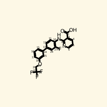 O=C(O)c1cccnc1Nc1ccc(-c2cccc(OCC(F)(F)F)c2)cc1F